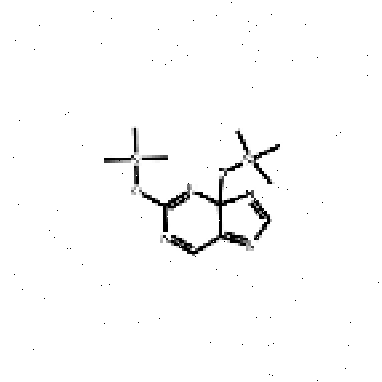 C[Si](C)(C)OC1=NC2(O[Si](C)(C)C)N=CN=C2C=N1